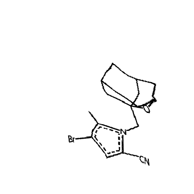 Cc1c(Br)cc(C#N)n1CC12CC3CC(CC(C3)O1)C2